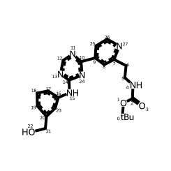 CC(C)(C)OC(=O)NCCc1cc(-c2ncnc(Nc3cccc(CO)c3)n2)ccn1